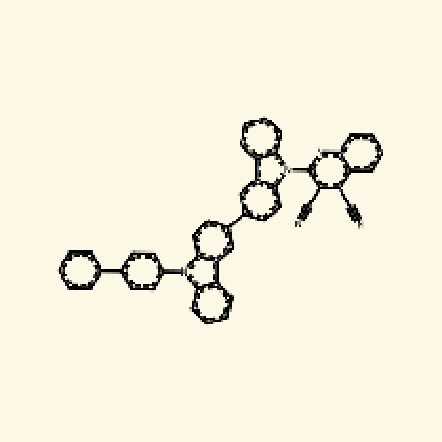 N#Cc1c(-n2c3ccccc3c3cc(-c4ccc5c(c4)c4ccccc4n5-c4ccc(-c5ccccc5)cc4)ccc32)nc2ccccc2c1C#N